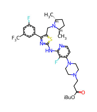 CC(C)COC(=O)CCN1CCN(c2ccnc(Nc3nc(-c4cc(F)cc(C(F)(F)F)c4)c(CN4[C@H](C)CC[C@H]4C)s3)c2F)CC1